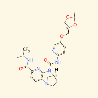 CC(NC(=O)c1ccc2c(n1)N(C(=O)Nc1ccc(OC[C@H]3COC(C)(C)O3)cn1)[C@H]1CCN2C1)C(F)(F)F